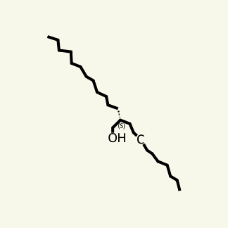 CCCCCCCCCCCC[C@@H](CO)CCCCCCCCCC